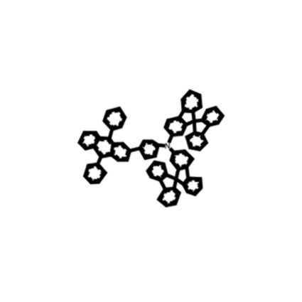 c1ccc(-c2c3ccccc3c(-c3ccccc3)c3cc(-c4ccc(N(c5ccc6c(c5)C5(c7ccccc7-c7ccccc75)c5ccccc5-6)c5ccc6c(c5)C5(c7ccccc7-c7ccccc75)c5ccccc5-6)cc4)ccc23)cc1